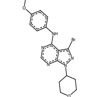 COc1ccc(Nc2ncnc3c2c(Br)nn3C2CCOCC2)cc1